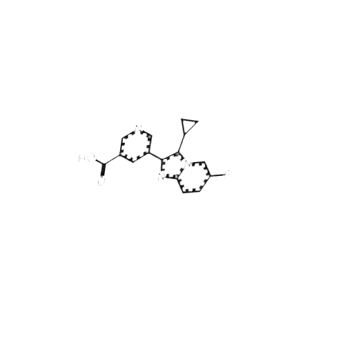 O=C(O)c1cncc(-c2nc3ccc(F)cn3c2C2CC2)c1